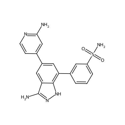 Nc1cc(-c2cc(-c3cccc(S(N)(=O)=O)c3)c3[nH]nc(N)c3c2)ccn1